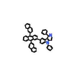 C1=Cc2ccc(-c3c4ccccc4c(-c4ccc5ccccc5c4)c4cc(-c5ccc6c(c5)c5c(-c7ccccc7)nccc5n6-c5ccccc5)ccc34)cc2CC1